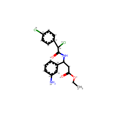 CCOC(=O)CC(NC(=O)C(Cl)c1ccc(Cl)cc1)c1cccc(N)c1